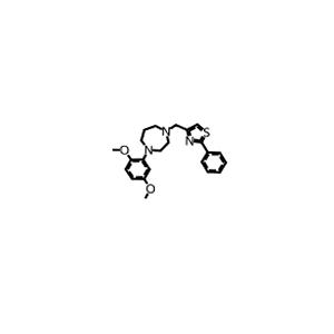 COc1ccc(OC)c(N2CCCN(Cc3csc(-c4ccccc4)n3)CC2)c1